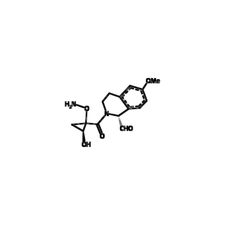 COc1ccc2c(c1)CCN(C(=O)C1(ON)C[C@@H]1O)[C@H]2C=O